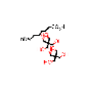 CCCCCCCCCCCCCCCC(=O)O.OCC(CO)(CO)CO.OCC(CO)(CO)CO